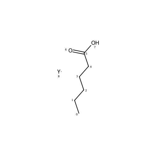 CCCCCC(=O)O.[Y]